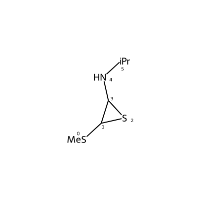 CSC1SC1NC(C)C